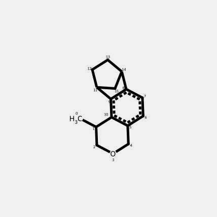 CC1COCc2ccc3c(c21)C1CCC3C1